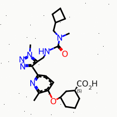 Cc1nc(-c2nnn(C)c2CNC(=O)N(C)CC2CCC2)ccc1OC1CCC[C@H](C(=O)O)C1